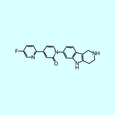 O=c1cc(-c2ccc(F)cn2)ccn1-c1ccc2c3c([nH]c2c1)CCNC3